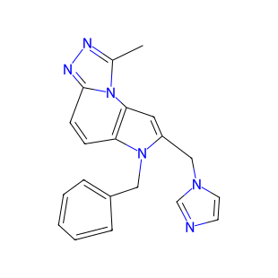 Cc1nnc2ccc3c(cc(Cn4ccnc4)n3Cc3ccccc3)n12